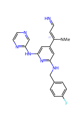 CN/C(=C\C=N)c1cc(NCc2ccc(F)cc2)nc(Nc2cnccn2)c1